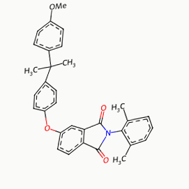 COc1ccc(C(C)(C)c2ccc(Oc3ccc4c(c3)C(=O)N(c3c(C)cccc3C)C4=O)cc2)cc1